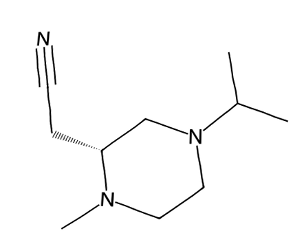 CC(C)N1CCN(C)[C@H](CC#N)C1